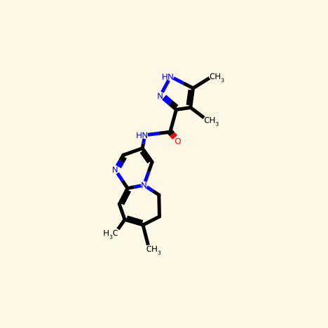 CC1=C(C)CCN2C=C(NC(=O)c3n[nH]c(C)c3C)C=NC2=C1